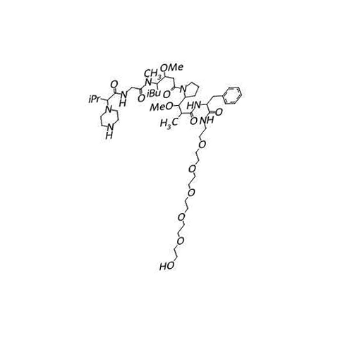 CCC(C)C(C(CC(=O)N1CCCC1C(OC)C(C)C(=O)NC(Cc1ccccc1)C(=O)NCCOCCOCCOCCOCCOCCO)OC)N(C)C(=O)CNC(=O)C(C(C)C)N1CCNCC1